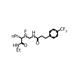 CCCC(C(=O)NCC)N(F)CNC(=O)CCc1ccc(C(F)(F)F)cc1